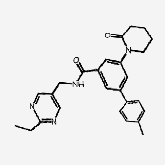 CCc1ncc(CNC(=O)c2cc(-c3ccc(C)cc3)cc(N3CCCCC3=O)c2)cn1